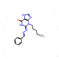 CCCCCn1/c(=N/N=C/c2ccccc2)[nH]c(=O)c2[nH]cnc21